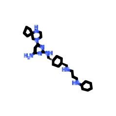 Nc1cc(N2CCNC3(CCCC3)C2)nc(NC[C@H]2CC[C@H](CNCCCNC3CCCCC3)CC2)n1